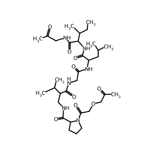 CCC(C)C(NC(=O)C(CC(C)C)NC(=O)CNC(=O)C(CNC(=O)C1CCCN1C(=O)COCC(C)=O)C(C)C)C(=O)NCC(C)=O